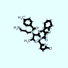 Cc1ccc(C(=O)N(CCCN)C(c2nc3c(oc4ccccc43)c(=O)n2Cc2ccc(Cl)s2)C(C)C)cc1